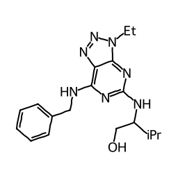 CCn1nnc2c(NCc3ccccc3)nc(NC(CO)C(C)C)nc21